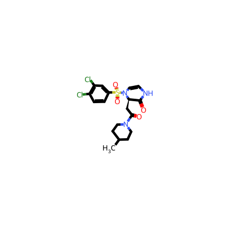 CC1CCN(C(=O)C[C@@H]2C(=O)NC=CN2S(=O)(=O)c2ccc(Cl)c(Cl)c2)CC1